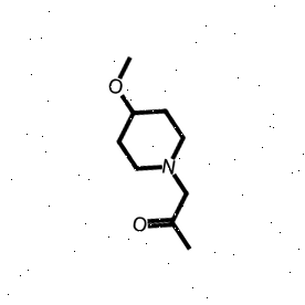 COC1CCN(CC(C)=O)CC1